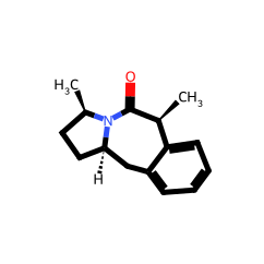 C[C@@H]1C(=O)N2[C@H](CC[C@H]2C)Cc2ccccc21